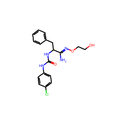 NC(=NOCCO)C(Cc1cc[c]cc1)NC(=O)Nc1ccc(Cl)cc1